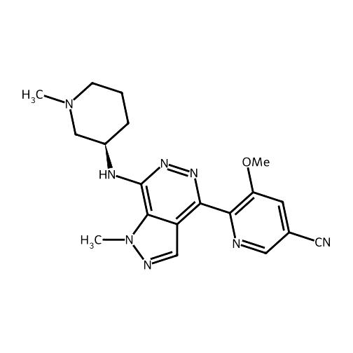 COc1cc(C#N)cnc1-c1nnc(N[C@@H]2CCCN(C)C2)c2c1cnn2C